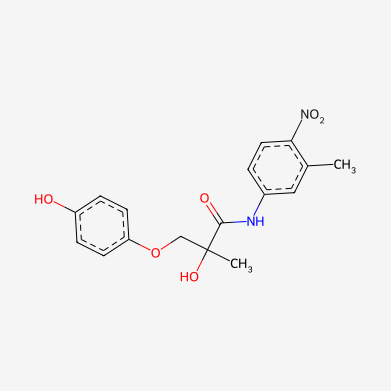 Cc1cc(NC(=O)C(C)(O)COc2ccc(O)cc2)ccc1[N+](=O)[O-]